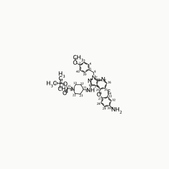 COc1ccc(Cn2nc(NC3CCN(C(=O)OC(C)(C)C)CC3)c3c(Oc4ccc(N)cc4F)ccnc32)cc1